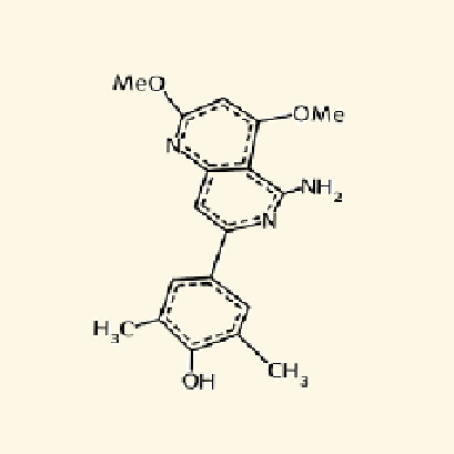 COc1cc(OC)c2c(N)nc(-c3cc(C)c(O)c(C)c3)cc2n1